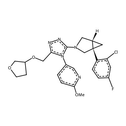 COc1ccc(-n2c(COC3CCOC3)nnc2N2C[C@@H]3C[C@]3(c3ccc(F)cc3Cl)C2)cn1